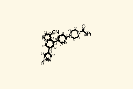 CC(C)C(=O)N1CCN(c2ccc(-c3cc(-c4cnn(C)c4)cn4ncc(C#N)c34)cn2)CC1